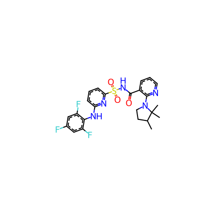 CC1CCN(c2ncccc2C(=O)NS(=O)(=O)c2cccc(Nc3c(F)cc(F)cc3F)n2)C1(C)C